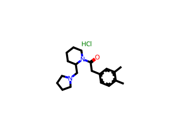 Cc1ccc(CC(=O)N2CCCCC2CN2CCCC2)cc1C.Cl